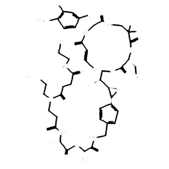 COc1ccc(C[C@H]2NC(=O)/C=C/C[C@@H]([C@H](C)[C@H]3O[C@@H]3c3ccc(CNC(=O)[C@H](C)NC(=O)[C@@H](NC(=O)CCN(CCC(=O)O)C(=O)CCC(=O)NCCS(=O)(=O)O)C(C)C)cc3)OC(=O)[C@H](CC(C)C)OC(=O)C(C)(C)CNC2=O)cc1Cl